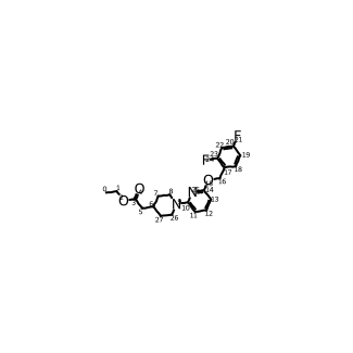 CCOC(=O)CC1CCN(c2cccc(OCc3ccc(F)cc3F)n2)CC1